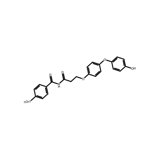 CCCCCCCCc1ccc(C(=O)NC(=O)CCOc2ccc(Oc3ccc(O)cc3)cc2)cc1